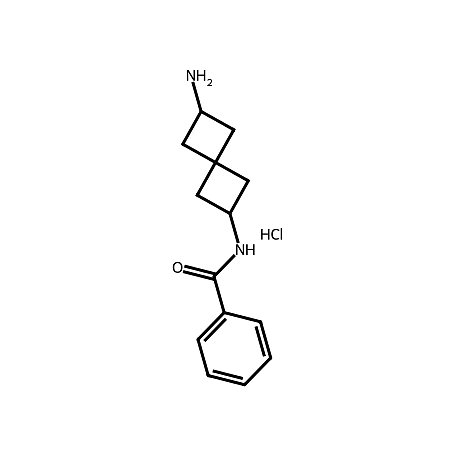 Cl.NC1CC2(C1)CC(NC(=O)c1ccccc1)C2